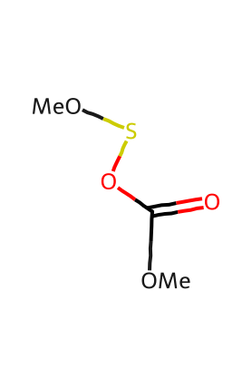 COSOC(=O)OC